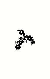 CN1CCN(/C=N/C(=N\C(=N)Nc2cc(-c3ccccc3)[nH]n2)Sc2ccc(OC(F)(F)F)cc2)CC1